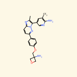 Cc1nc2ccc(-c3ccc(OCC4(N)COC4)cc3)nn2c1-c1cnc(N)c(C(F)(F)F)c1